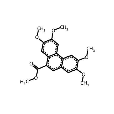 COC(=O)c1cc2cc(OC)c(OC)cc2c2cc(OC)c(OC)cc12